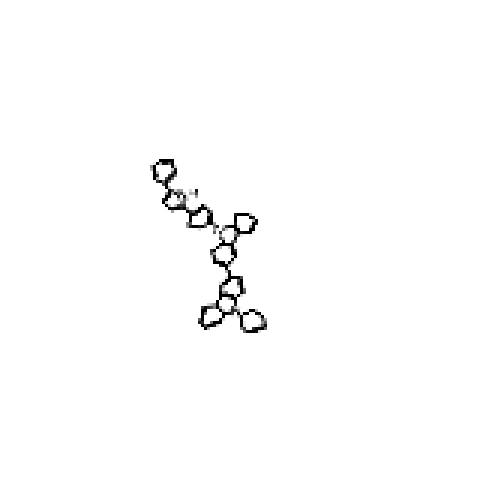 C1=CC2c3cc(C4=CCC5C(=C4)C4=C(CCC=C4)N5C4=CC=C(c5ccc(-c6ccccc6)[nH]5)CC4)ccc3N(C3CC=CCC3)C2C=C1